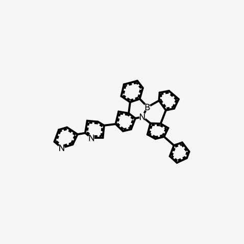 c1ccc(-c2ccc3c(c2)-c2ccccc2B2c4ccccc4-c4cc(-c5ccc(-c6cccnc6)nc5)ccc4N23)cc1